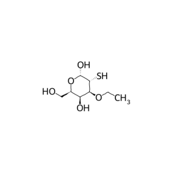 CCO[C@H]1[C@@H](O)[C@@H](CO)O[C@H](O)[C@@H]1S